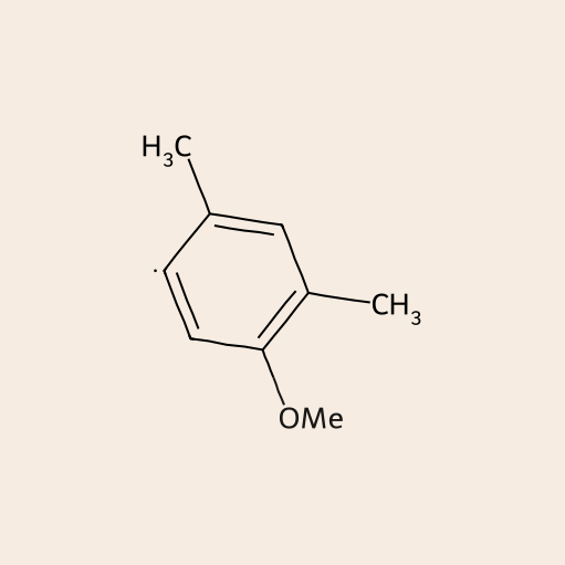 COc1c[c]c(C)cc1C